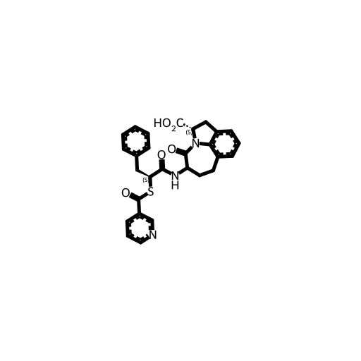 O=C(S[C@@H](Cc1ccccc1)C(=O)NC1CCc2cccc3c2N(C1=O)[C@H](C(=O)O)C3)c1cccnc1